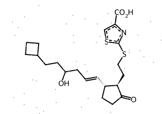 O=C(O)c1csc(SCC[C@H]2C(=O)CC[C@@H]2/C=C/CC(O)CCC2CCC2)n1